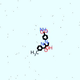 Cc1ccc2c(c1)C(=O)C1(O)CCN(c3ccc(C(=O)ON)cc3)C1=N2